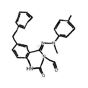 Cc1ccc(N(C)/N=c2/c3cc(Cc4ccccc4)ccc3[nH]c(=O)n2C=O)cc1